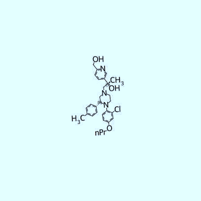 CCCOc1ccc(N2CCN(C[C@@](C)(O)c3ccc(CO)nc3)C[C@H]2c2ccc(C)cc2)c(Cl)c1